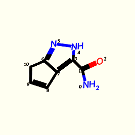 NC(=O)c1[nH]nc2c1C=CC2